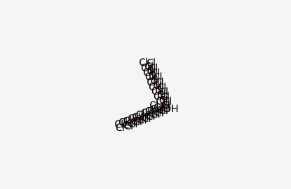 ClC(Cl)Cl.ClC(Cl)Cl.ClC(Cl)Cl.ClC(Cl)Cl.ClC(Cl)Cl.ClC(Cl)Cl.ClC(Cl)Cl.ClC(Cl)Cl.ClC(Cl)Cl.ClC(Cl)Cl.ClC(Cl)Cl.ClC(Cl)Cl.ClC(Cl)Cl.ClC(Cl)Cl.ClC(Cl)Cl.ClC(Cl)Cl.ClC(Cl)Cl.ClC(Cl)Cl.ClC(Cl)Cl.OCC(Cl)(Cl)Cl